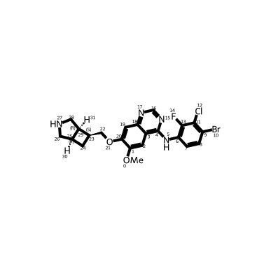 COc1cc2c(Nc3ccc(Br)c(Cl)c3F)ncnc2cc1OC[C@H]1C[C@H]2CNC[C@H]21